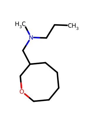 CCCN(C)CC1CCCCCOC1